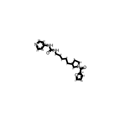 O=C(NCCCCCC1CCN(C(=O)c2ccco2)C1)Nc1ccncc1